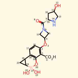 O=C(O)c1c(OC2CN(C(=O)[C@@H]3CC(O)CN3)C2)ccc2c1O[B-](O)(O)C1CC21